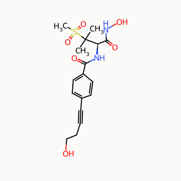 CC(C)([C@H](NC(=O)c1ccc(C#CCCO)cc1)C(=O)NO)S(C)(=O)=O